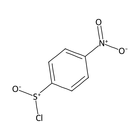 O=[N+]([O-])c1ccc([S+]([O-])Cl)cc1